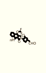 CCCc1c2c(c(OC(F)F)c3ccccc13)CN(c1ccc(CC=O)cc1Cl)C2=O